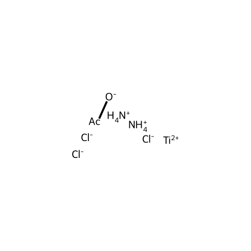 CC(=O)[O-].[Cl-].[Cl-].[Cl-].[NH4+].[NH4+].[Ti+2]